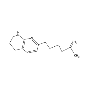 C=C(C)CCCCc1ccc2c(n1)NCCC2